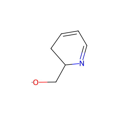 [O]CC1CC=CC=N1